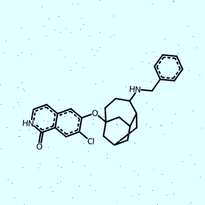 O=c1[nH]ccc2cc(OC34CCC(NCc5ccccc5)C5CC(CC5C3)C4)c(Cl)cc12